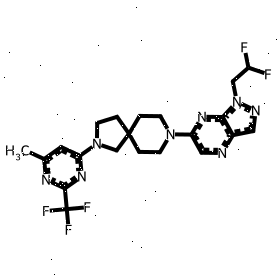 Cc1cc(N2CCC3(CCN(c4cnc5cnn(CC(F)F)c5n4)CC3)C2)nc(C(F)(F)F)n1